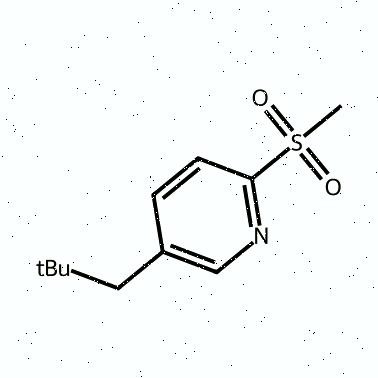 CC(C)(C)Cc1ccc(S(C)(=O)=O)nc1